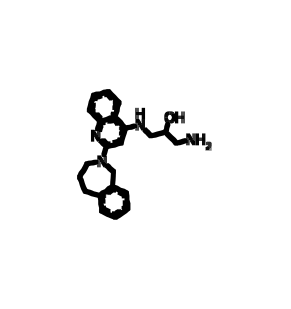 NCC(O)CNc1cc(N2CCCc3ccccc3C2)nc2ccccc12